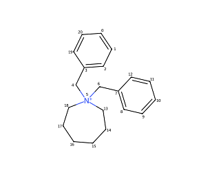 c1ccc(C[N+]2(Cc3ccccc3)CCCCCC2)cc1